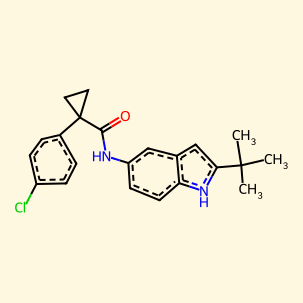 CC(C)(C)c1cc2cc(NC(=O)C3(c4ccc(Cl)cc4)CC3)ccc2[nH]1